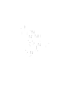 Cc1cnc(-c2cn(C)nc2C(=O)N2CC(F)(F)CC(C)[C@H]2CNc2ncc(C(F)(F)F)cn2)nc1